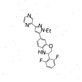 CCn1nc(-c2cnccn2)cc1-c1ccc2c(c1)OCC(c1c(F)cccc1F)N2